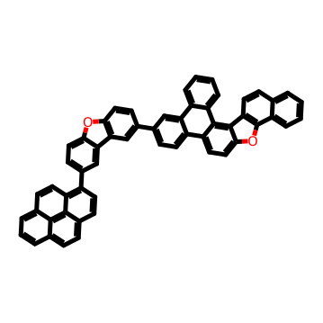 c1ccc2c(c1)ccc1c2oc2ccc3c4ccc(-c5ccc6oc7ccc(-c8ccc9ccc%10cccc%11ccc8c9c%10%11)cc7c6c5)cc4c4ccccc4c3c21